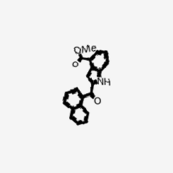 COC(=O)c1cccc2[nH]c(C(=O)c3cccc4ccccc34)cc12